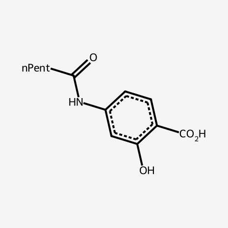 CCCCCC(=O)Nc1ccc(C(=O)O)c(O)c1